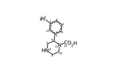 CC(C)c1cccc(C2CNCCN2C(=O)O)c1